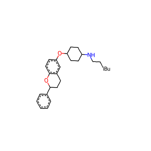 CCC(C)CCNC1CCC(Oc2ccc3c(c2)CCC(c2ccccc2)O3)CC1